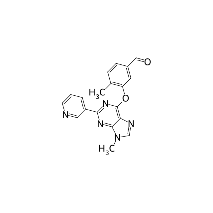 Cc1ccc(C=O)cc1Oc1nc(-c2cccnc2)nc2c1ncn2C